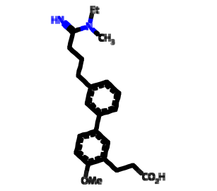 CCN(C)C(=N)CCCc1cccc(-c2ccc(OC)c(CCC(=O)O)c2)c1